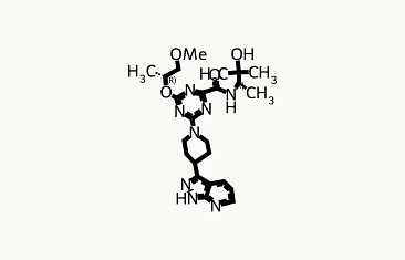 COC[C@@H](C)Oc1nc(C(=O)N[C@H](C)C(C)(C)O)nc(N2CCC(c3n[nH]c4ncccc34)CC2)n1